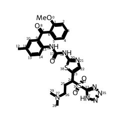 COc1ccccc1C(=O)c1cc(C)ccc1NC(=O)Nc1ncc(C(CCN(C)C)S(=O)(=O)c2nnn[nH]2)s1